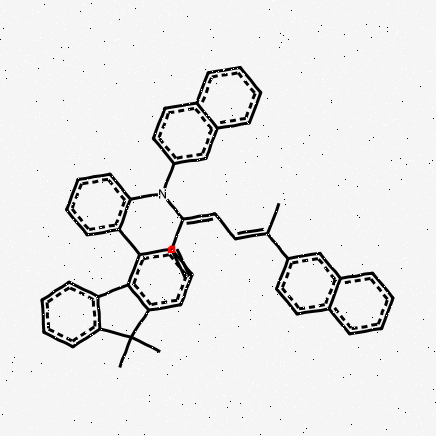 C=C/C(=C\C=C(/C)c1ccc2ccccc2c1)N(c1ccc2ccccc2c1)c1ccccc1-c1cccc2c1-c1ccccc1C2(C)C